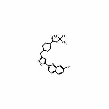 CC(C)(C)OC(=O)N1CCC(Cc2cc(-c3cnc4ccc(Br)cc4n3)on2)CC1